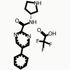 O=C(N[C@@H]1CCNC1)c1ncc(-c2ccccc2)cn1.O=C(O)C(F)(F)F